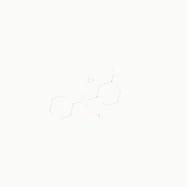 CCCO[Si](OCC)(C1CCCCC1)C1CC(C)CC(C)C1